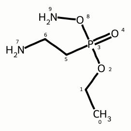 CCOP(=O)(CCN)ON